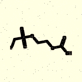 O=C(O)OCCOS(=O)(=O)CF